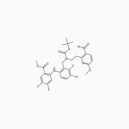 COC(=O)c1cc(F)c(F)cc1Nc1ccc(Cl)c(F)c1CN(CCc1nc(OC)ccc1[N+](=O)[O-])C(=O)OC(C)(C)C